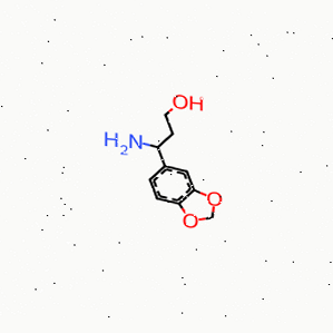 NC(CCO)c1ccc2c(c1)OCO2